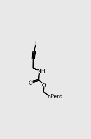 CCCCCCOC(=O)NCC#CI